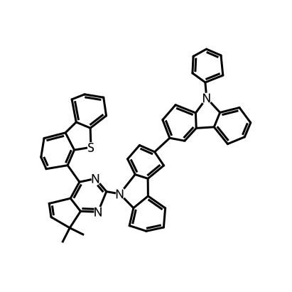 CC1(C)C=Cc2c(-c3cccc4c3sc3ccccc34)nc(-n3c4ccccc4c4cc(-c5ccc6c(c5)c5ccccc5n6-c5ccccc5)ccc43)nc21